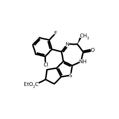 CCOC(=O)C1Cc2sc3c(c2C1)C(c1c(F)cccc1Cl)=N[C@@H](C)C(=O)N3